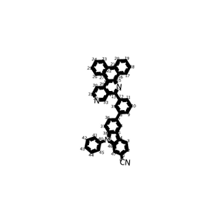 N#Cc1ccc2c3cc(-c4cccc(-c5nc6c7ccccc7c7ccccc7c6c6ccncc56)c4)ccc3n(-c3ccccc3)c2c1